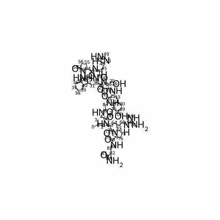 CC(C)C[C@H](NC(=O)CNC(=O)[C@H](Cc1ccc(O)cc1)NC(=O)[C@H](CO)NC(=O)[C@H](Cc1c[nH]c2ccccc12)NC(=O)[C@H](Cc1c[nH]cn1)NC(=O)[C@@H]1CCC(=O)N1)C(=O)N[C@@H](CCCNC(=N)N)C(=O)N1CCC[C@H]1C(=O)NCCC(N)=O